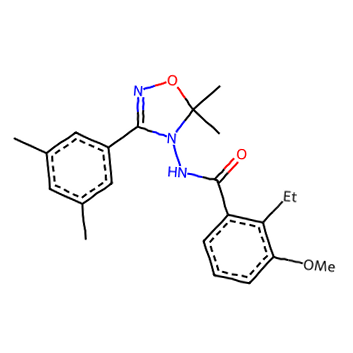 CCc1c(OC)cccc1C(=O)NN1C(c2cc(C)cc(C)c2)=NOC1(C)C